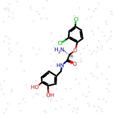 N[C@H](Oc1ccc(Cl)cc1Cl)C(=O)NCc1ccc(O)c(O)c1